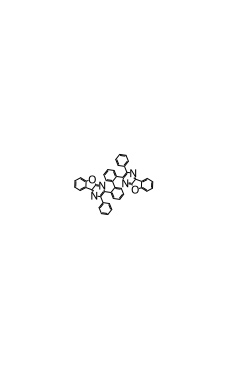 c1ccc(-c2nc3c(nc2-c2ccccc2-c2ccccc2-c2nc4oc5ccccc5c4nc2-c2ccccc2)oc2ccccc23)cc1